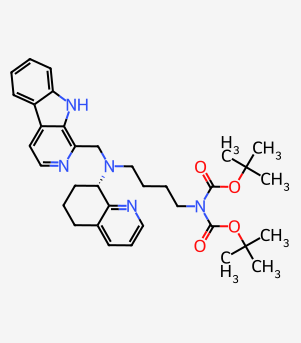 CC(C)(C)OC(=O)N(CCCCN(Cc1nccc2c1[nH]c1ccccc12)[C@H]1CCCc2cccnc21)C(=O)OC(C)(C)C